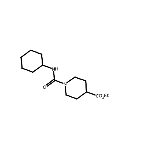 CCOC(=O)C1CCN(C(=O)NC2CCCCC2)CC1